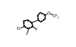 CCc1ccc(-c2ccc(OC(F)(F)F)cc2)c(F)c1F